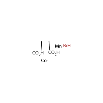 Br.CC(=O)O.CC(=O)O.[Co].[Mn]